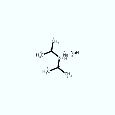 CC(C)SC(C)C.[NaH].[NaH]